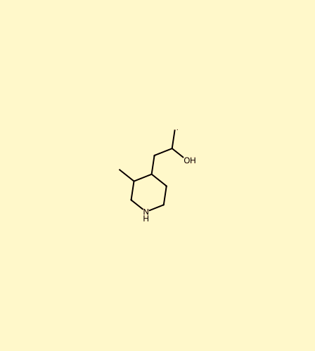 [CH2]C(O)CC1CCNCC1C